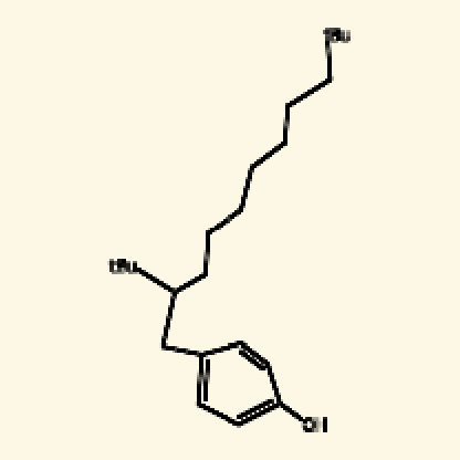 CC(C)(C)CCCCCCCC(Cc1ccc(O)cc1)C(C)(C)C